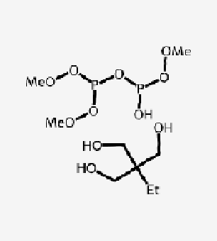 CCC(CO)(CO)CO.COOP(O)OP(OOC)OOC